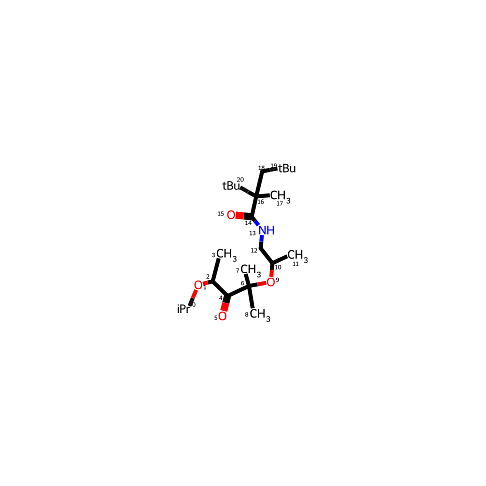 CC(C)OC(C)C(=O)C(C)(C)OC(C)CNC(=O)C(C)(CC(C)(C)C)C(C)(C)C